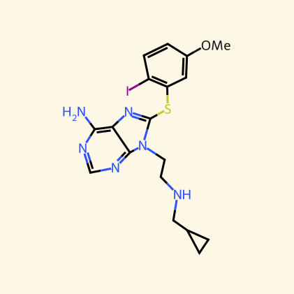 COc1ccc(I)c(Sc2nc3c(N)ncnc3n2CCNCC2CC2)c1